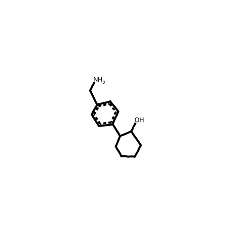 NCc1ccc([C]2CCCCC2O)cc1